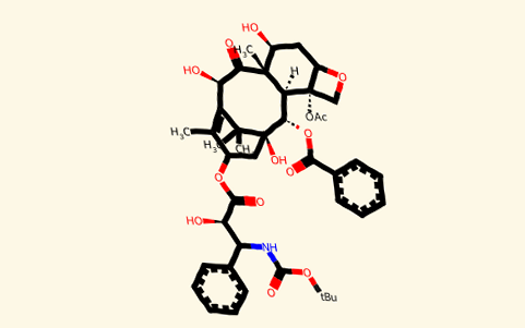 CC(=O)O[C@@]12COC1C[C@H](O)[C@@]1(C)C(=O)[C@H](O)C3=C(C)C(OC(=O)[C@H](O)C(NC(=O)OC(C)(C)C)c4ccccc4)C[C@@](O)([C@@H](OC(=O)c4ccccc4)[C@@H]12)C3(C)C